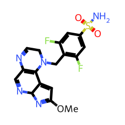 COC1=NC2N=CC3=C(C2=C1)N(Cc1c(F)cc(S(N)(=O)=O)cc1F)CC=N3